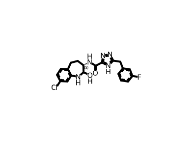 O=C(N[C@H]1CCc2ccc(Cl)cc2NC1O)c1nnc(Cc2cccc(F)c2)[nH]1